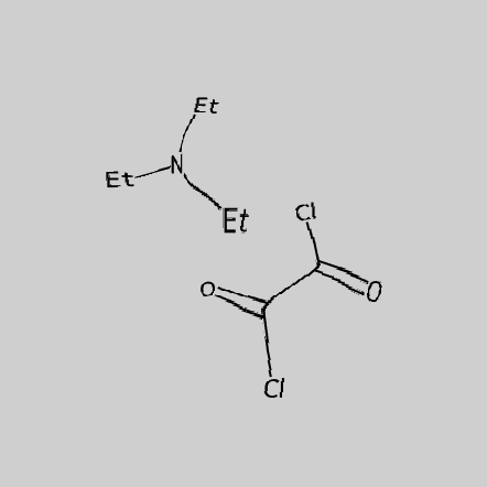 CCN(CC)CC.O=C(Cl)C(=O)Cl